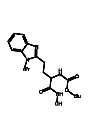 CCCn1c(CCC(NC(=O)OC(C)(C)C)C(=O)NO)nc2ccccc21